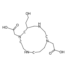 O=C(O)CN1CCCNCCN(CC(=O)O)CC(CCO)CNCC1